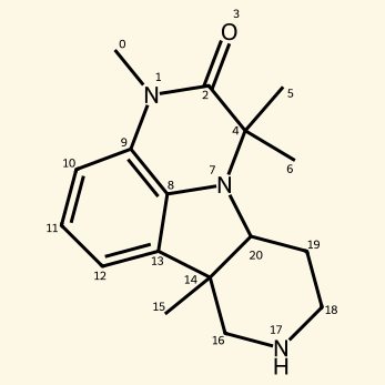 CN1C(=O)C(C)(C)N2c3c1cccc3C1(C)CNCCC21